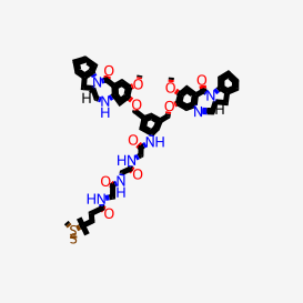 COc1cc2c(cc1OCc1cc(COc3cc4c(cc3OC)C(=O)N3c5ccccc5C[C@H]3CN4)cc(NC(=O)CNC(=O)CNC(=O)CNC(=O)CCC(C)(C)S(C)=S)c1)N=C[C@@H]1Cc3ccccc3N1C2=O